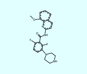 COc1cccc2ccc(NC(=O)c3c(F)ccc(N4CCNCC4)c3F)nc12